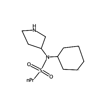 CCCS(=O)(=O)N(C1C[CH]CCC1)C1CCNC1